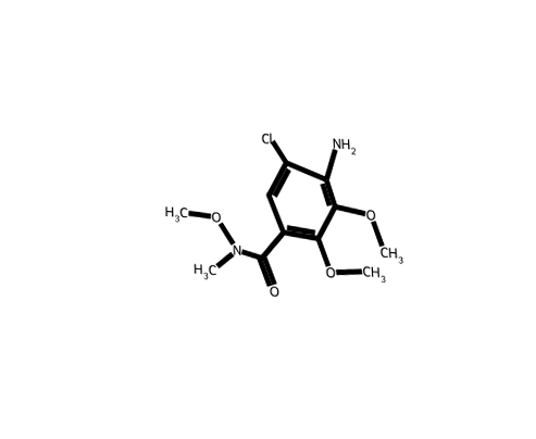 COc1c(C(=O)N(C)OC)cc(Cl)c(N)c1OC